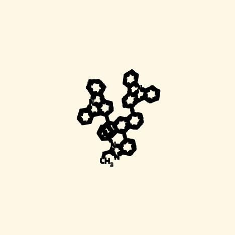 CCc1nc2cccc(-c3c4cccc(-c5ccc6c7ccccc7n7c8ccccc8c5c67)c4cc4c(-c5ccc6c7ccccc7n7c8ccccc8c5c67)cccc34)c2n1-c1ccccc1